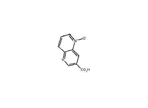 O=C(O)c1cnc2ccc[n+]([O-])c2c1